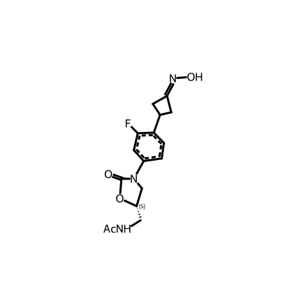 CC(=O)NC[C@H]1CN(c2ccc(C3CC(=NO)C3)c(F)c2)C(=O)O1